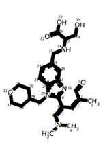 C/C(C=O)=C/C(=C\N(C)C)c1nc2cc(CNC(CO)C(=O)O)ccc2n1CC1CCOCC1